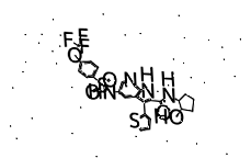 O=C(N[C@H]1CCC[C@H]1O)c1[nH]c2ncc(NS(=O)(=O)c3ccc(OC(F)(F)F)cc3)cc2c1-c1cccs1